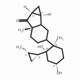 C[C@H]1C[C@H]1[C@]1(O)C[C@@H](O)CC[C@]1(C)C1CC[C@]2(C)C(=O)[C@H]3C[C@H]3C2C1